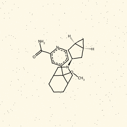 COC1(c2ccnc(C(N)=O)c2)C2CCCC1CN([C@H]1C[C@H]3C[C@H]3C1)C2